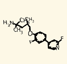 CC(COc1ccc(-c2ccnc(F)c2)cc1F)CC(C)(C)N